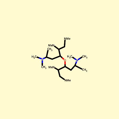 CNCC(NC)C(CC(C)N(C)C)OC(CC(C)N(C)C)C(CNC)NC